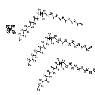 CCCCCCCCCCCCC[N+](C)(C)CCCCCCCCCCCC.CCCCCCCCCCCCC[N+](C)(C)CCCCCCCCCCCC.CCCCCCCCCCCCC[N+](C)(C)CCCCCCCCCCCC.O=P([O-])([O-])[O-]